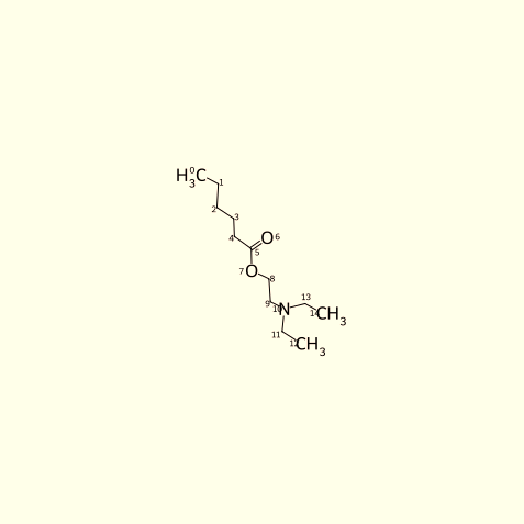 CCCCCC(=O)OCCN(CC)CC